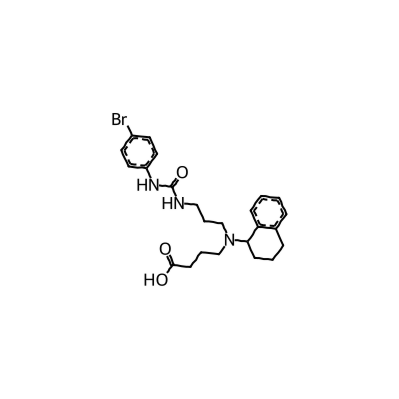 O=C(O)CCCN(CCCNC(=O)Nc1ccc(Br)cc1)C1CCCc2ccccc21